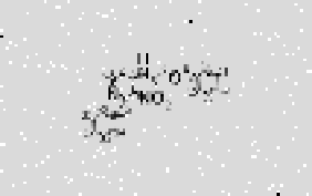 Cc1cc(NCCOCc2ccccc2)c([N+](=O)[O-])c(Oc2ccccc2)n1